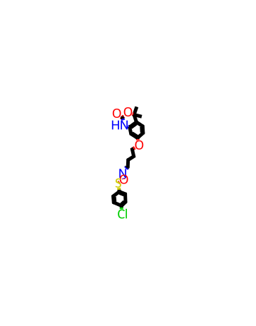 CC1(C)OC(=O)Nc2cc(OCCCC=NOSc3ccc(Cl)cc3)ccc21